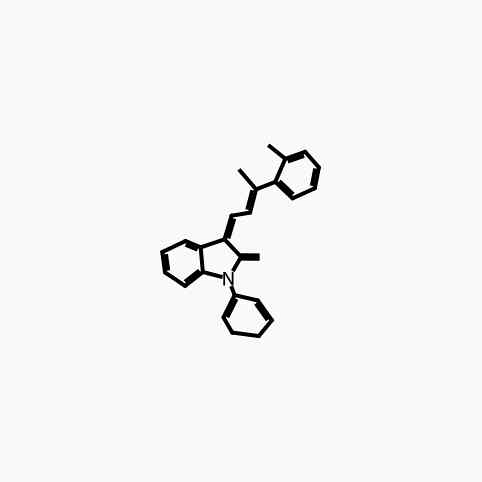 C=c1/c(=C\C=C(/C)c2ccccc2C)c2ccccc2n1C1=CCCC=C1